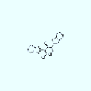 O=C(C(=CCl)c1cc2ccccc2s1)C(=CCl)c1cc2ccccc2s1